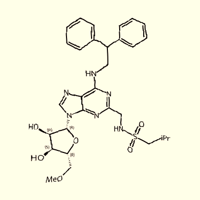 COC[C@H]1O[C@@H](n2cnc3c(NCC(c4ccccc4)c4ccccc4)nc(CNS(=O)(=O)CC(C)C)nc32)[C@H](O)[C@@H]1O